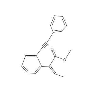 CC=C(C(=O)OC)c1ccccc1C#Cc1ccccc1